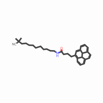 CC(C)(C#N)CCCCCCCCCCNC(=O)CCCC1=C2C=CC=C3C=CC4=CC=CC(=C1)C4C32